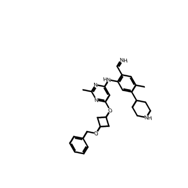 Cc1nc(Nc2cc(C3CCNCC3)c(C)cc2C=N)cc(OC2CC(OCc3ccccc3)C2)n1